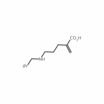 C=C(CCCNCC(C)C)C(=O)O